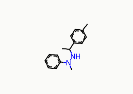 Cc1ccc(C(C)NN(C)c2ccccc2)cc1